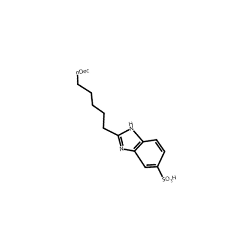 CCCCCCCCCCCCCCCc1nc2cc(S(=O)(=O)O)ccc2[nH]1